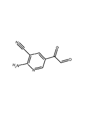 N#Cc1cc(C(=O)C=O)cnc1N